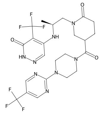 C[C@@H](CN1CC(C(=O)N2CCN(c3ncc(C(F)(F)F)cn3)CC2)CCC1=O)Nc1cn[nH]c(=O)c1C(F)(F)F